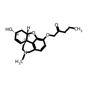 CCCC(=O)COc1ccc2c3c1O[C@H]1C[C@@H](O)C=C[C@@]31CCN(C)C2